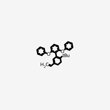 C=CC1=CC(c2c(Oc3ccccc3)cccc2Oc2ccccc2)=C(C(C)(C)C)CC1